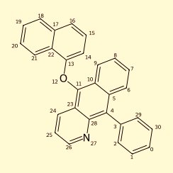 c1ccc(-c2c3ccccc3c(Oc3cccc4ccccc34)c3cccnc23)cc1